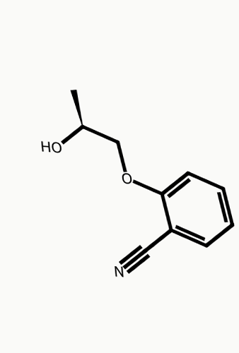 C[C@H](O)COc1ccccc1C#N